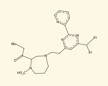 CCC(CC)c1cc(CCN2CCCN(C(=O)O)C(C(=O)CC(C)(C)C)C2)nc(-c2ccccn2)n1